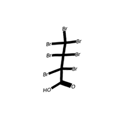 O=C(O)C(Br)(Br)C(Br)(Br)C(Br)(Br)Br